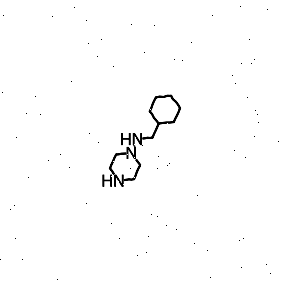 C1CCC(CNN2CCNCC2)CC1